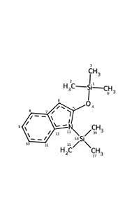 C[Si](C)(C)Oc1cc2ccccc2n1[Si](C)(C)C